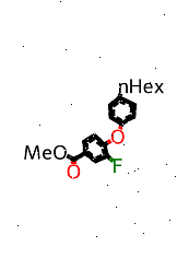 CCCCCCc1ccc(Oc2ccc(C(=O)OC)cc2F)cc1